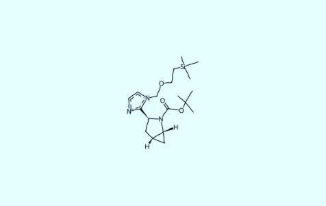 CC(C)(C)OC(=O)N1[C@@H]2C[C@@H]2C[C@H]1c1nccn1COCC[Si](C)(C)C